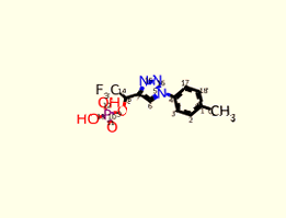 Cc1ccc(-n2cc(C(OP(=O)(O)O)C(F)(F)F)nn2)cc1